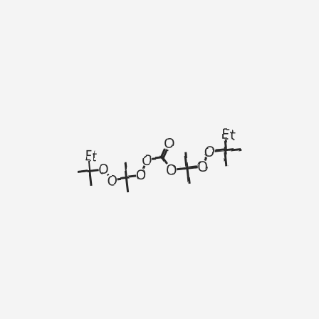 CCC(C)(C)OOC(C)(C)OOC(=O)OC(C)(C)OOC(C)(C)CC